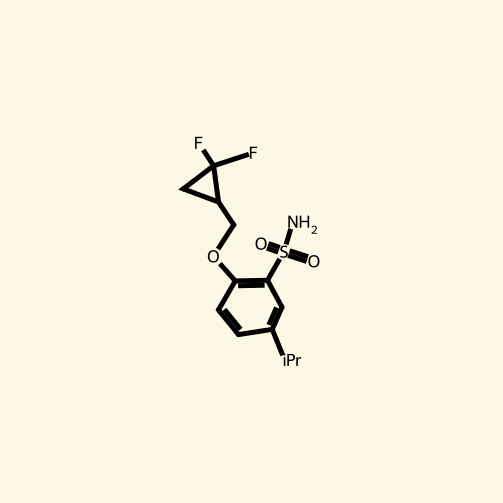 CC(C)c1ccc(OCC2CC2(F)F)c(S(N)(=O)=O)c1